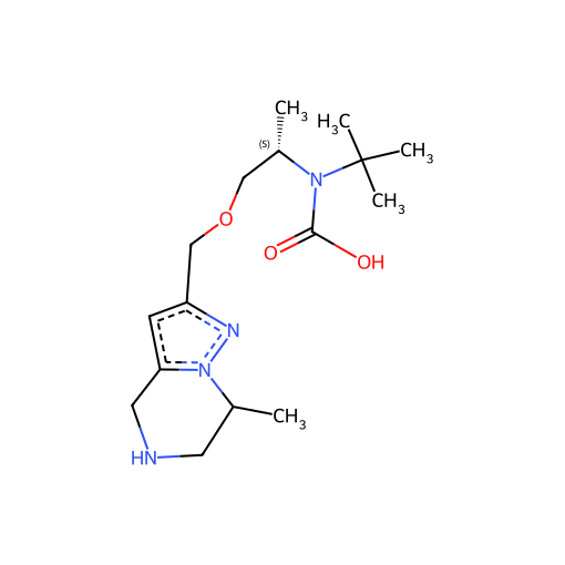 CC1CNCc2cc(COC[C@H](C)N(C(=O)O)C(C)(C)C)nn21